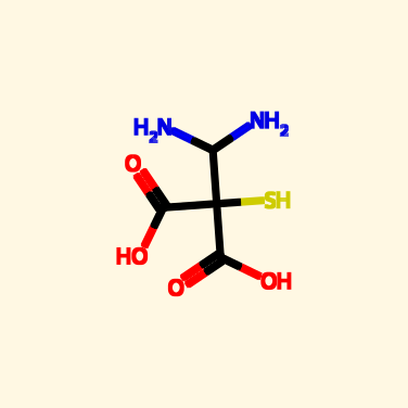 NC(N)C(S)(C(=O)O)C(=O)O